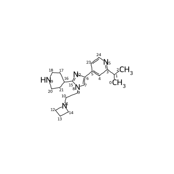 CC(C)c1cc(-c2cn(CCN3CCC3)c(C3CCNCC3)n2)ccn1